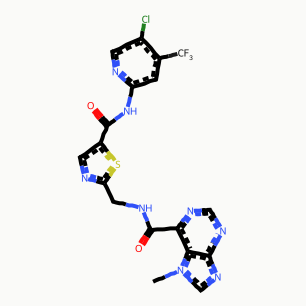 Cn1cnc2ncnc(C(=O)NCc3ncc(C(=O)Nc4cc(C(F)(F)F)c(Cl)cn4)s3)c21